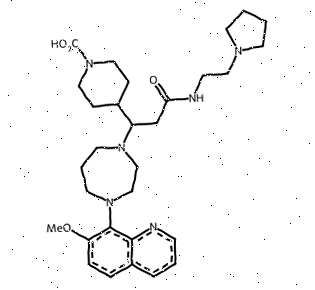 COc1ccc2cccnc2c1N1CCCN(C(CC(=O)NCCN2CCCC2)C2CCN(C(=O)O)CC2)CC1